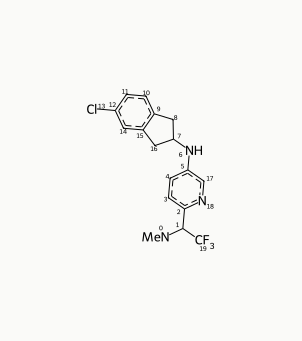 CNC(c1ccc(NC2Cc3ccc(Cl)cc3C2)cn1)C(F)(F)F